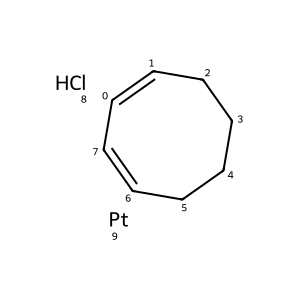 C1=C\CCCC\C=C/1.Cl.[Pt]